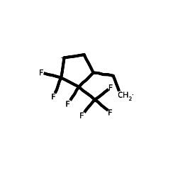 [CH2]CC1C[CH]C(F)(F)C1(F)C(F)(F)F